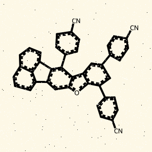 N#Cc1ccc(-c2cc(-c3ccc(C#N)cc3)c3oc4cc5c(c(-c6ccc(C#N)cc6)c4c3c2)-c2cccc3cccc-5c23)cc1